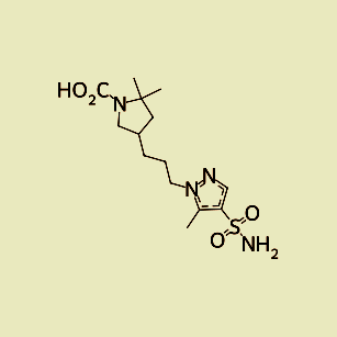 Cc1c(S(N)(=O)=O)cnn1CCCC1CN(C(=O)O)C(C)(C)C1